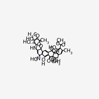 COC(=O)c1c(C)cc2c(c1O)[C@]1(O)C(=O)c3cc4c(c(O)c3C(=O)[C@]1(OC)[C@H](O)C2)/C(=N/O)C=C(N[C@H]1O[C@@H](C)[C@H](OC)[C@@H](O)[C@H]1CO)C4=O